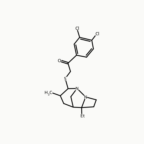 CCC12CCN1N1CC2CC(C)C1SCC(=O)c1ccc(Cl)c(Cl)c1